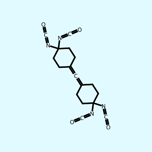 O=C=NC1(N=C=O)CCC(=C=C2CCC(N=C=O)(N=C=O)CC2)CC1